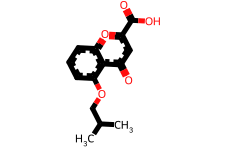 CC(C)COc1cccc2oc(C(=O)O)cc(=O)c12